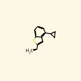 C=Cc1cc2c(C3CC3)cccc2s1